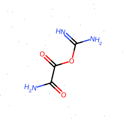 N=C(N)OC(=O)C(N)=O